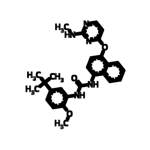 CNc1nccc(Oc2ccc(NC(=O)Nc3cc(C(C)(C)C)ccc3OC)c3ccccc23)n1